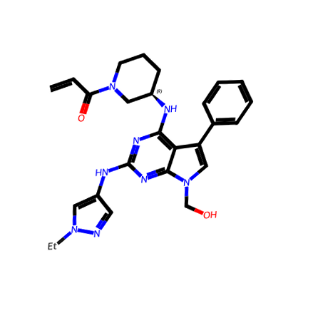 C=CC(=O)N1CCC[C@@H](Nc2nc(Nc3cnn(CC)c3)nc3c2c(-c2ccccc2)cn3CO)C1